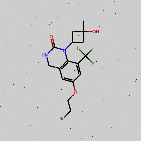 CC1(O)CC(N2C(=O)NCc3cc(OCCBr)cc(C(F)(F)F)c32)C1